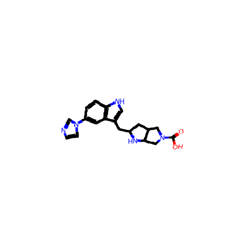 O=C(O)N1CC2CC(Cc3c[nH]c4ccc(-n5ccnc5)cc34)NC2C1